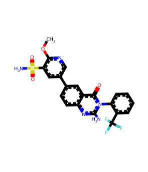 COc1ncc(-c2ccc3nc(N)n(-c4ccccc4C(F)(F)F)c(=O)c3c2)cc1S(N)(=O)=O